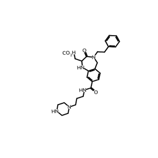 O=C(O)CC1Nc2cc(C(=O)NCCCN3CCNCC3)ccc2CN(CCc2ccccc2)C1=O